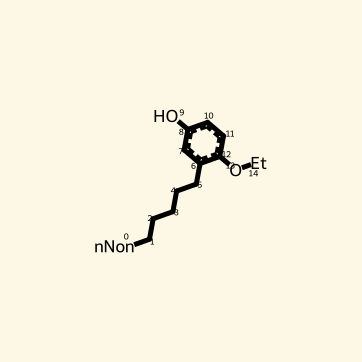 CCCCCCCCCCCCCCc1cc(O)ccc1OCC